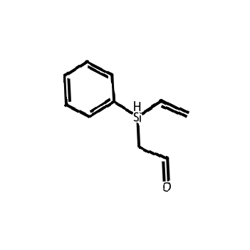 C=C[SiH](CC=O)c1ccccc1